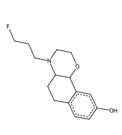 Oc1ccc2c(c1)C1OCCN(CCCF)C1CC2